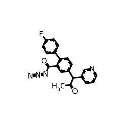 CC(=O)C(c1cccnc1)c1ccc(-c2ccc(F)cc2)c(C(=O)N=[N+]=[N-])c1